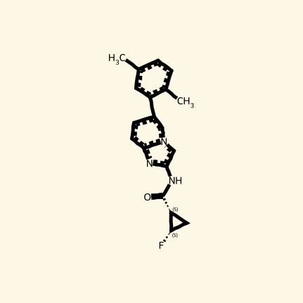 Cc1ccc(C)c(-c2ccc3nc(NC(=O)[C@@H]4C[C@@H]4F)cn3c2)c1